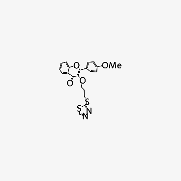 COc1ccc(-c2oc3ccccc3c(=O)c2OCCCSc2nncs2)cc1